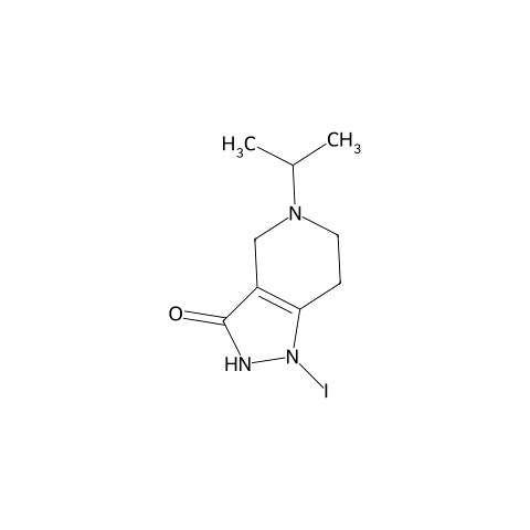 CC(C)N1CCc2c(c(=O)[nH]n2I)C1